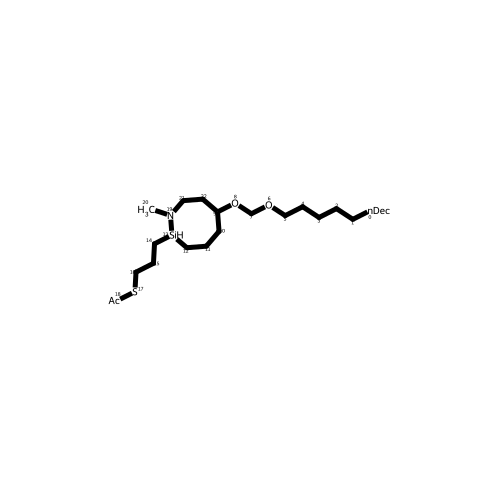 CCCCCCCCCCCCCCCOCOC1CCC[SiH](CCCSC(C)=O)N(C)CC1